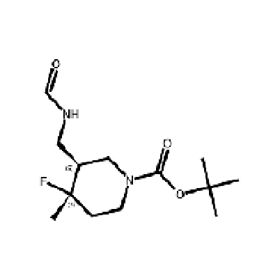 CC(C)(C)OC(=O)N1CC[C@](C)(F)[C@@H](CNC=O)C1